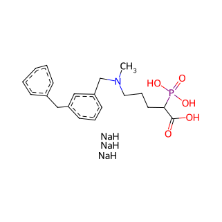 CN(CCCC(C(=O)O)P(=O)(O)O)Cc1cccc(Cc2ccccc2)c1.[NaH].[NaH].[NaH]